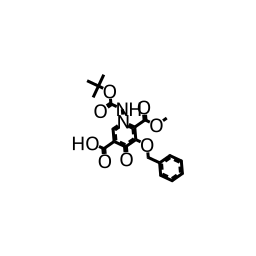 COC(=O)c1c(OCc2ccccc2)c(=O)c(C(=O)O)cn1NC(=O)OC(C)(C)C